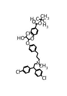 CC(O)C(Oc1ccc(CCCN(C)CC(c2ccc(Cl)cc2)c2ccc(Cl)cc2)cc1)Oc1ccc(C(=O)OC(C)(C)C)cc1